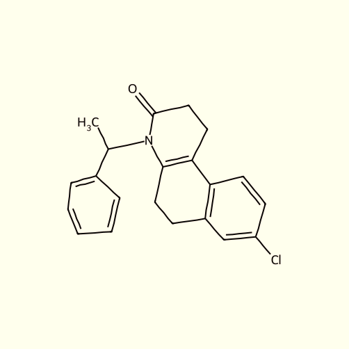 CC(c1ccccc1)N1C(=O)CCC2=C1CCc1cc(Cl)ccc12